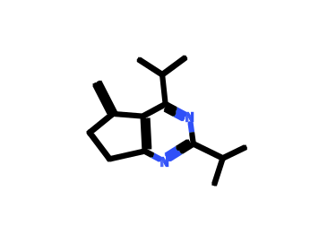 C=C1CCc2nc(C(C)C)nc(C(C)C)c21